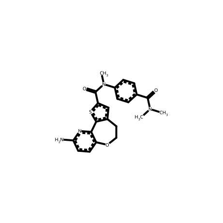 CN(C)C(=O)c1ccc(N(C)C(=O)c2cc3c(s2)-c2nc(N)ccc2OCC3)cc1